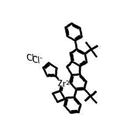 CC(C)(C)c1cc2c(cc1-c1ccccc1)Cc1c-2cc(C(C)(C)C)c(-c2ccccc2)[c]1[Zr+2]([C]1=CC=CC1)=[C]1CCC1.[Cl-].[Cl-]